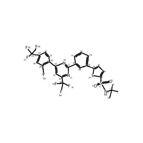 CC(C)(C)NS(=O)(=O)c1ccc(-c2cccc(-c3nc(-c4ccc(C(F)(F)F)cc4F)cc(C(F)(F)F)n3)c2)s1